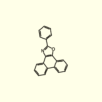 c1ccc(-c2nc3c4ccccc4c4ccccc4c3o2)cc1